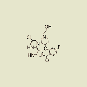 N=C1CN(C(=O)c2ccc(F)cc2OC2CCN(CCO)CC2)C/C1=C1\N=CC(Cl)=CN1